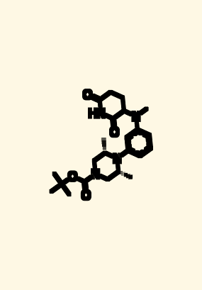 C[C@@H]1CN(C(=O)OC(C)(C)C)C[C@H](C)N1c1cccc(N(C)C2CCC(=O)NC2=O)c1